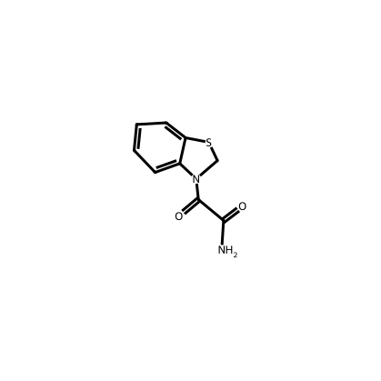 NC(=O)C(=O)N1CSc2ccccc21